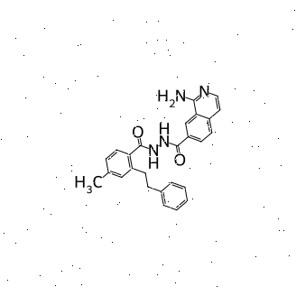 Cc1ccc(C(=O)NNC(=O)c2ccc3ccnc(N)c3c2)c(CCc2ccccc2)c1